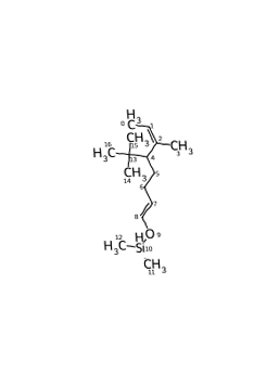 CC=C(C)C(CCC=CO[SiH](C)C)C(C)(C)C